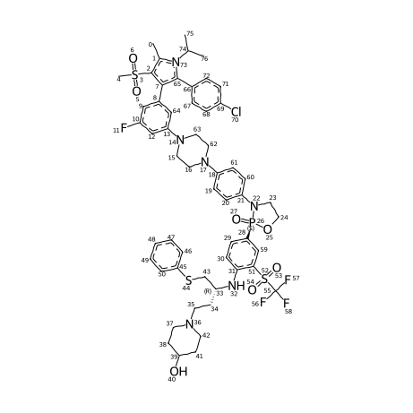 Cc1c(S(C)(=O)=O)c(-c2cc(F)cc(N3CCN(c4ccc(N5CCO[P@@]5(=O)c5ccc(N[C@H](CCN6CCC(O)CC6)CSc6ccccc6)c(S(=O)(=O)C(F)(F)F)c5)cc4)CC3)c2)c(-c2ccc(Cl)cc2)n1C(C)C